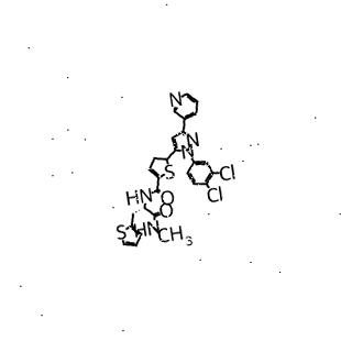 CNC(=O)[C@H](Cc1cccs1)NC(=O)C1=CCC(c2cc(-c3cccnc3)nn2-c2ccc(Cl)c(Cl)c2)S1